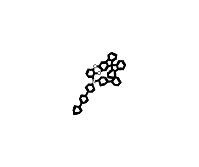 C1=CCCC(C2=CCC(N(C3=CC=CC4Oc5cc6c(cc5OC34)C3(c4ccccc4-c4ccccc43)c3ccccc3-6)c3ccc(-c4ccc(-c5ccccc5)cc4)cc3)C=C2)=C1